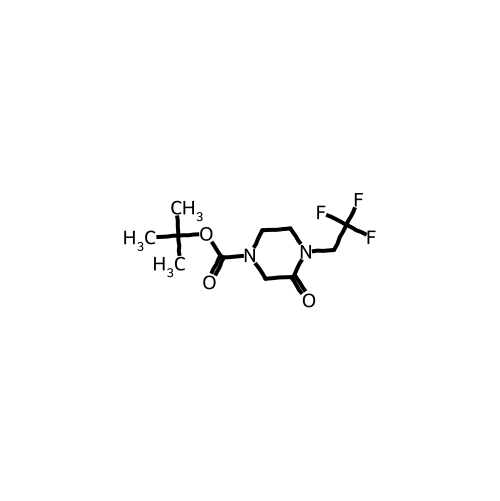 CC(C)(C)OC(=O)N1CCN(CC(F)(F)F)C(=O)C1